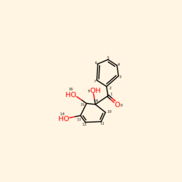 O=C(c1ccccc1)C1(O)C=CC=C(O)C1O